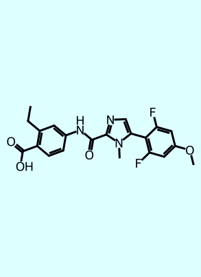 CCc1cc(NC(=O)c2ncc(-c3c(F)cc(OC)cc3F)n2C)ccc1C(=O)O